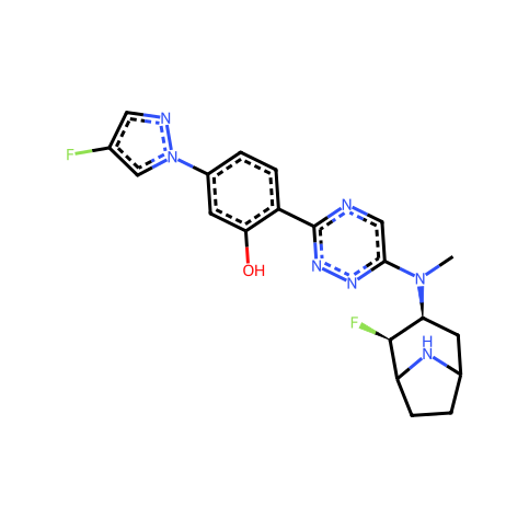 CN(c1cnc(-c2ccc(-n3cc(F)cn3)cc2O)nn1)[C@H]1CC2CCC(N2)[C@H]1F